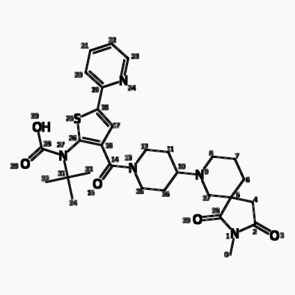 CN1C(=O)CC2(CCCN(C3CCN(C(=O)c4cc(-c5ccccn5)sc4N(C(=O)O)C(C)(C)C)CC3)C2)C1=O